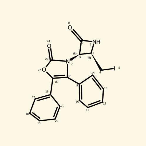 O=C1N[C@@H](CI)[C@H]1n1c(-c2ccccc2)c(-c2ccccc2)oc1=O